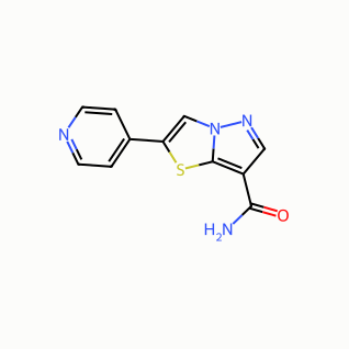 NC(=O)c1cnn2cc(-c3ccncc3)sc12